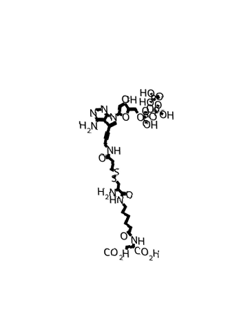 Nc1ncnc2c1c(C#CCNC(=O)CCSSCC(N)C(=O)NCCCCCC(=O)NC(CC(=O)O)C(=O)O)cn2C1CC(O)C(COP(=O)(O)OP(=O)(O)OP(=O)(O)O)O1